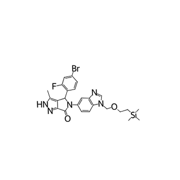 Cc1[nH]nc2c1C(c1ccc(Br)cc1F)N(c1ccc3c(c1)ncn3COCC[Si](C)(C)C)C2=O